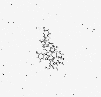 COc1ccc(CN(c2nn(C)c3c(-n4c([C@H](Cc5cc(F)cc(F)c5)NC(=O)OC(C)(C)C)nc5c(OC)c(F)ccc5c4=O)ccc(Cl)c23)S(C)(=O)=O)cc1